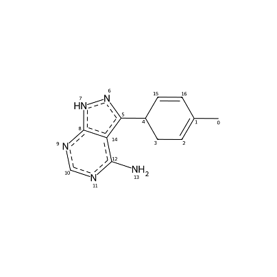 CC1=CCC(c2n[nH]c3ncnc(N)c23)C=C1